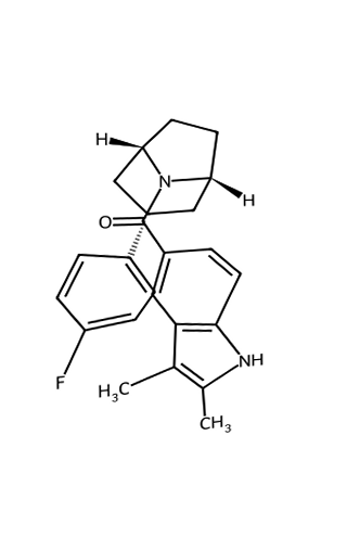 Cc1[nH]c2ccc(C(=O)N3[C@@H]4CC[C@H]3C[C@@H](c3ccc(F)cc3)C4)cc2c1C